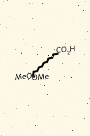 COC(CCCCCCCCCCC(=O)O)OC